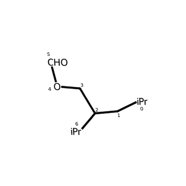 CC(C)CC(COC=O)C(C)C